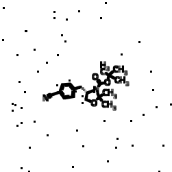 CC(C)(C)OC(=O)N1[C@@H](Cc2ccc(C#N)cc2)COC1(C)C